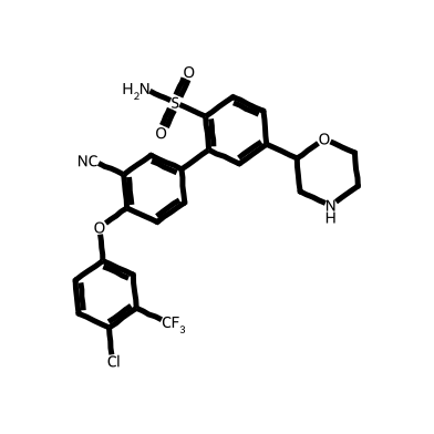 N#Cc1cc(-c2cc(C3CNCCO3)ccc2S(N)(=O)=O)ccc1Oc1ccc(Cl)c(C(F)(F)F)c1